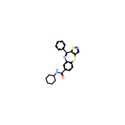 O=C(NC1CCCCC1)c1ccc2c(c1)N=C(c1ccccc1)c1sncc1S2